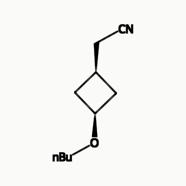 CCCCO[C@H]1C[C@@H](CC#N)C1